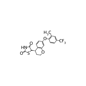 Cc1cc(C(F)(F)F)ccc1Oc1ccc2c(c1)OCC[C@H]2C1SC(=O)NC1=O